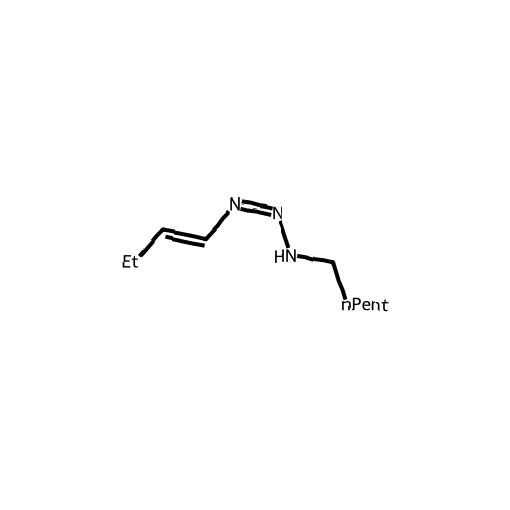 CC/C=C/N=N\NCCCCCC